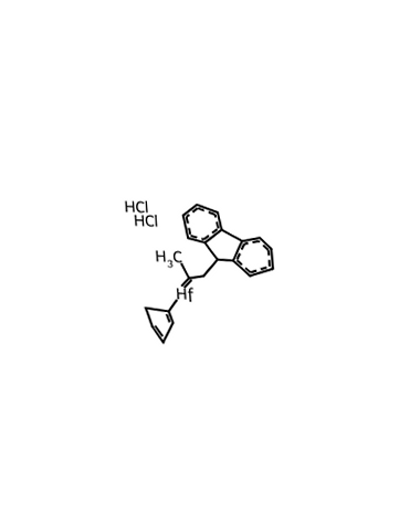 C/[C](CC1c2ccccc2-c2ccccc21)=[Hf]\[C]1=CC=CC1.Cl.Cl